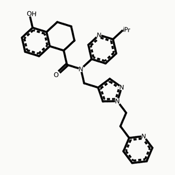 CC(C)c1ccc(N(Cc2cnn(CCc3ccccn3)c2)C(=O)C2CCCc3c(O)cccc32)cn1